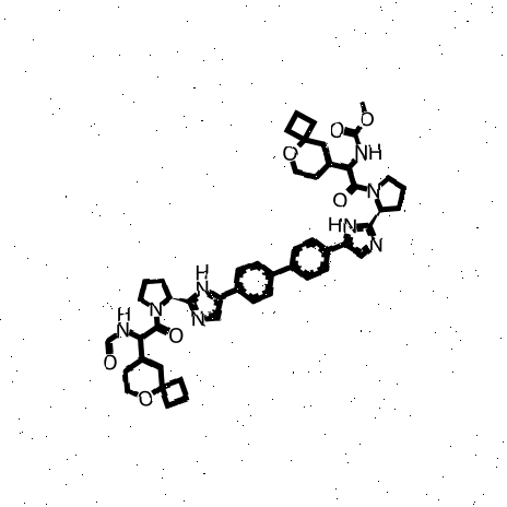 COC(=O)NC(C(=O)N1CCC[C@H]1c1ncc(-c2ccc(-c3ccc(-c4cnc([C@@H]5CCCN5C(=O)C(NC=O)C5CCOC6(CCC6)C5)[nH]4)cc3)cc2)[nH]1)C1CCOC2(CCC2)C1